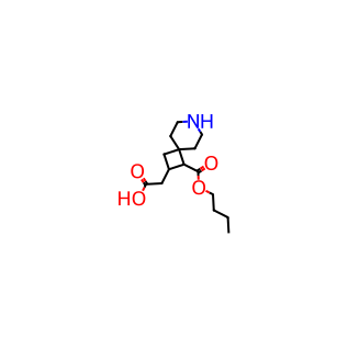 CCCCOC(=O)C1C(CC(=O)O)CC12CCNCC2